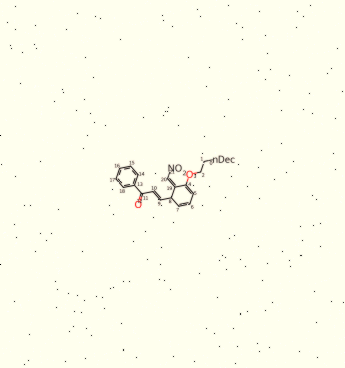 CCCCCCCCCCCCOC1=CC=CC(C=CC(=O)c2ccccc2)C1=C[N+](=O)[O-]